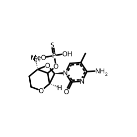 CC[C@@]12CCO[C@@H](C1OP(O)(=S)OC)[C@H](n1cc(C)c(N)nc1=O)O2